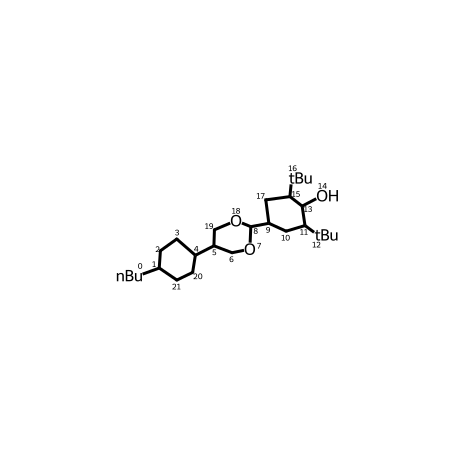 CCCCC1CCC(C2COC(C3CC(C(C)(C)C)C(O)C(C(C)(C)C)C3)OC2)CC1